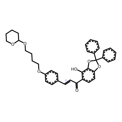 O=C(/C=C/c1ccc(OCCCCOC2CCCCO2)cc1)c1ccc2c(c1O)OC(c1ccccc1)(c1ccccc1)O2